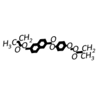 C=C(C)C(=O)OCOc1ccc(OC(=O)c2ccc3cc(COC(=O)C(=C)C)ccc3c2)cc1